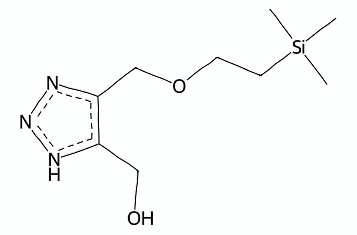 C[Si](C)(C)CCOCc1nn[nH]c1CO